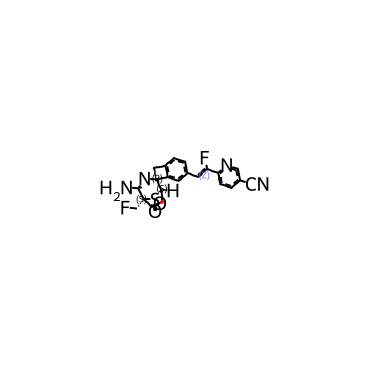 N#Cc1ccc(/C(F)=C/c2ccc3c(c2)[C@@]2(C3)N=C(N)[C@]3(CF)CC[C@@H]2S3(=O)=O)nc1